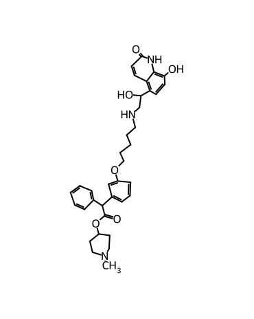 CN1CCC(OC(=O)C(c2ccccc2)c2cccc(OCCCCCNCC(O)c3ccc(O)c4[nH]c(=O)ccc34)c2)CC1